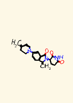 C=C1CCN(c2ccc3c(c2)C(=O)N(C2CCC(=O)NC2=O)C3=C)CC1